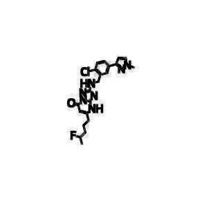 CC(F)CCCc1cc(=O)n2nc(NCc3cc(-c4ccn(C)n4)ccc3Cl)nc2[nH]1